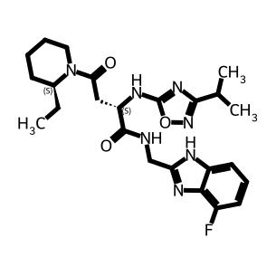 CC[C@H]1CCCCN1C(=O)C[C@H](Nc1nc(C(C)C)no1)C(=O)NCc1nc2c(F)cccc2[nH]1